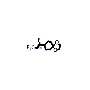 F/C(=C\C(F)(F)F)C1CCC2(CC1)OCCO2